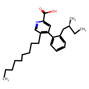 CCCCCCCCCc1cnc(C(=O)O)cc1-c1ccccc1C[C@@H](C)CC